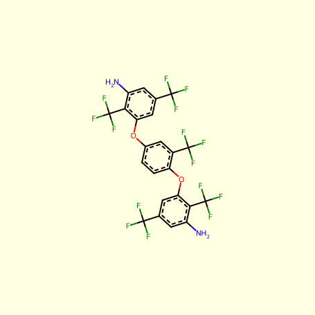 Nc1cc(C(F)(F)F)cc(Oc2ccc(Oc3cc(C(F)(F)F)cc(N)c3C(F)(F)F)c(C(F)(F)F)c2)c1C(F)(F)F